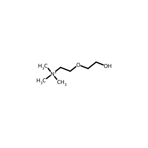 C[N+](C)(C)CCOCCO